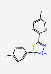 Cc1ccc(C2=NNC(C)(c3ccc(C)cc3)S2)cc1